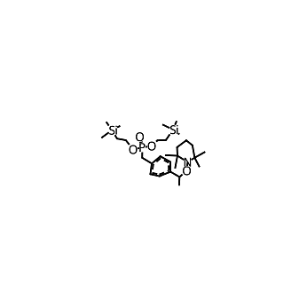 CC(ON1C(C)(C)CCCC1(C)C)c1ccc(CP(=O)(OCC[Si](C)(C)C)OCC[Si](C)(C)C)cc1